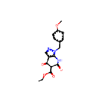 CCOC(=O)C1C(=O)Nc2c(cnn2Cc2ccc(OC)cc2)C1=O